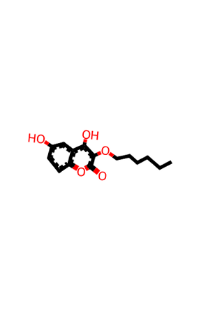 CCCCCCOc1c(O)c2cc(O)ccc2oc1=O